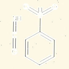 N=C=O.O=[SH](=O)c1ccccc1